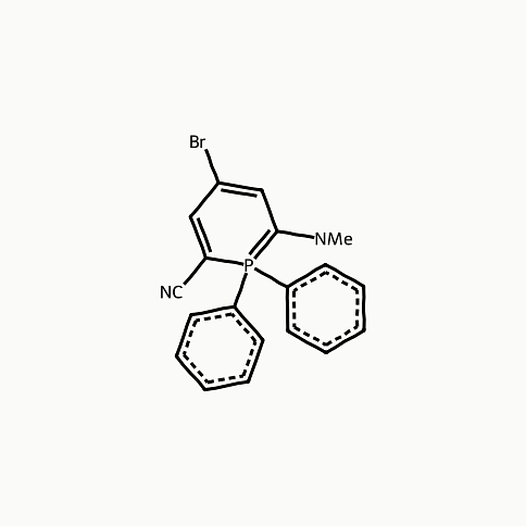 CNC1=P(c2ccccc2)(c2ccccc2)C(C#N)=CC(Br)=C1